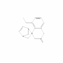 CCc1cccc2c1C1(CC(=O)C2)CC2C=CC1C2